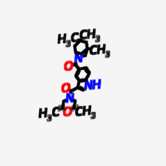 C[C@@H]1CN(C(=O)c2c[nH]c3ccc(C(=O)N4CC5(C)CC4CC(C)(C)C5)cc23)C[C@H](C)O1